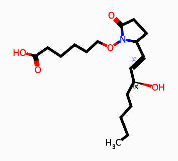 CCCCC[C@H](O)/C=C/C1CCC(=O)N1OCCCCCC(=O)O